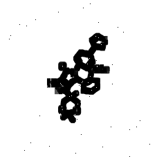 COC1=C(C2c3c(C4(C)COC(C)(C)OC4)n[nH]c3C(=O)N2c2ccc(-c3ccsc3)cc2)C=CCC1